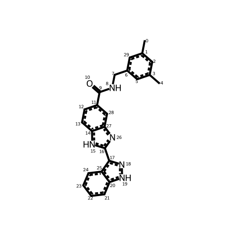 Cc1cc(C)cc(CNC(=O)c2ccc3[nH]c(-c4n[nH]c5ccccc45)nc3c2)c1